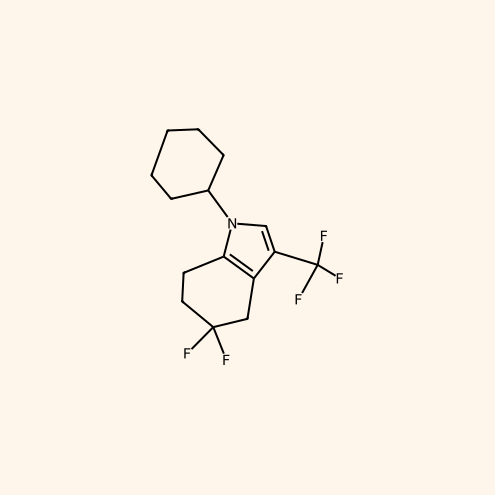 FC1(F)CCc2c(c(C(F)(F)F)cn2C2CCCCC2)C1